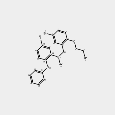 CCc1ccc(OCCBr)c(CN(C(C)=O)c2cc(F)ccc2Oc2ccccc2)c1